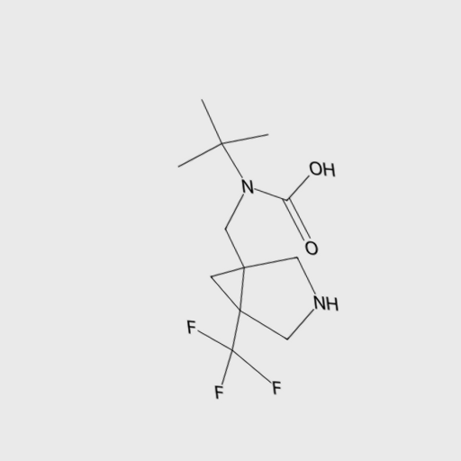 CC(C)(C)N(CC12CNCC1(C(F)(F)F)C2)C(=O)O